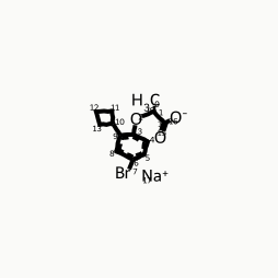 C[C@H](Oc1ccc(Br)cc1C1CCC1)C(=O)[O-].[Na+]